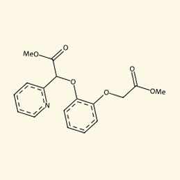 COC(=O)COc1ccccc1OC(C(=O)OC)c1ccccn1